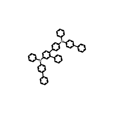 c1ccc(-c2ccc(N(c3ccccc3)c3ccc(-c4ccc(N(c5ccccc5)c5ccc(-c6ccccc6)cc5)cc4-c4ccccc4)cc3)cc2)cc1